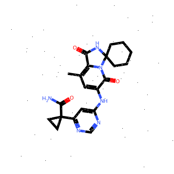 Cc1cc(Nc2cc(C3(C(N)=O)CC3)ncn2)c(=O)n2c1C(=O)NC21CCCCC1